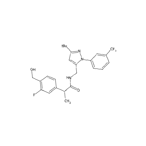 CC(C(=O)NCc1cc(C(C)(C)C)nn1-c1cccc(C(F)(F)F)c1)c1ccc(CO)c(F)c1